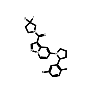 O=C(c1cnn2ccc(N3CCCC3c3cc(F)ccc3F)cc12)N1CCC(F)(F)C1